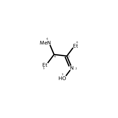 CCC(=NO)C(CC)NC